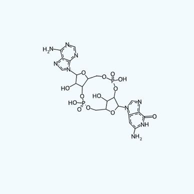 Nc1cc2c(ncn2C2OC3COP(=O)(O)OC4C(COP(=O)(O)OC2C3O)OC(n2cnc3c(N)ncnc32)C4O)c(=O)[nH]1